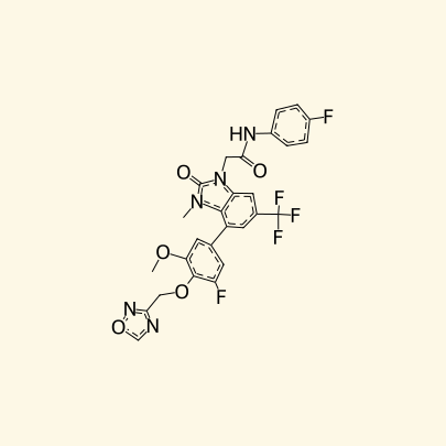 COc1cc(-c2cc(C(F)(F)F)cc3c2n(C)c(=O)n3CC(=O)Nc2ccc(F)cc2)cc(F)c1OCc1ncon1